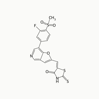 CS(=O)(=O)c1ccc(-c2cncc3cc(C=C4SC(=S)NC4=O)oc23)cc1F